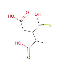 CC(C(=O)O)C(CC(=O)O)C(O)=S